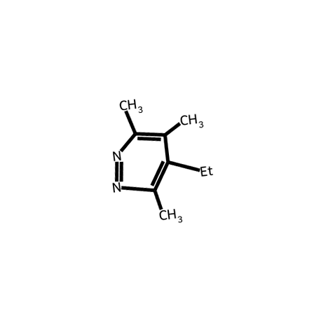 CCc1c(C)nnc(C)c1C